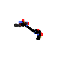 O=COc1ccc([C@@H](O)CNCCCCCCCCCN2CCC3(CC2)CN(C(=O)c2nc4ccccc4s2)CCO3)c2sc(=O)[nH]c12